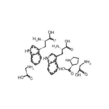 NCC(=O)O.NCC(=O)O.N[C@@H](Cc1c[nH]c2ccccc12)C(=O)O.N[C@@H](Cc1c[nH]c2ccccc12)C(=O)O.O=C(O)[C@@H]1CCCN1